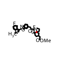 COC(=O)CC1CCC(OC(F)(C(=O)Cc2ccc3nc(-c4cn(C)c5ccc(F)cc45)oc3c2)N2CCCC2)CC1